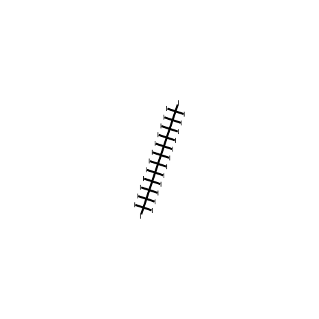 IC(I)(I)C(I)(I)C(I)(I)C(I)(I)C(I)(I)C(I)(I)C(I)(I)C(I)(I)C(I)(I)C(I)(I)C(I)(I)C(I)(I)I